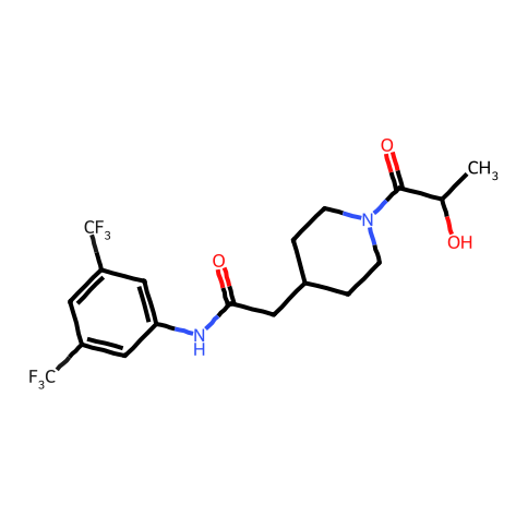 CC(O)C(=O)N1CCC(CC(=O)Nc2cc(C(F)(F)F)cc(C(F)(F)F)c2)CC1